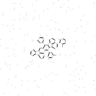 Cc1cccc(C)c1-c1ccc2c3c(-c4cc(C#N)cc(C#N)c4)c4c(cc5c6ccccc6c6cccc4c65)c(-c4cc(C#N)cc(C#N)c4)c3c3cccc1c32